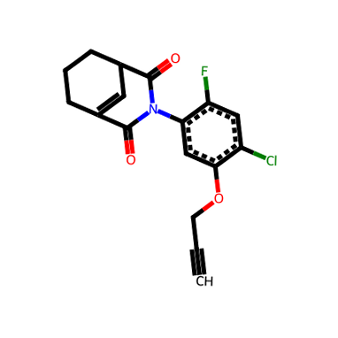 C#CCOc1cc(N2C(=O)C3=CC(CCC3)C2=O)c(F)cc1Cl